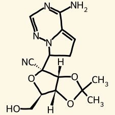 CC1(C)O[C@H]2[C@@H](O1)[C@](C#N)(C1CC=C3C(N)=NC=NN31)O[C@@H]2CO